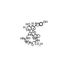 C[C@H](NC(=O)[C@H](CCCNC(=N)N)NC(=O)[C@@H](NC(=O)[C@@H](N)Cc1ccc(O)cc1)[C@@H](C)O)C(=O)N1CCC[C@H]1C(=O)N[C@@H](CC(N)=O)C(=O)O